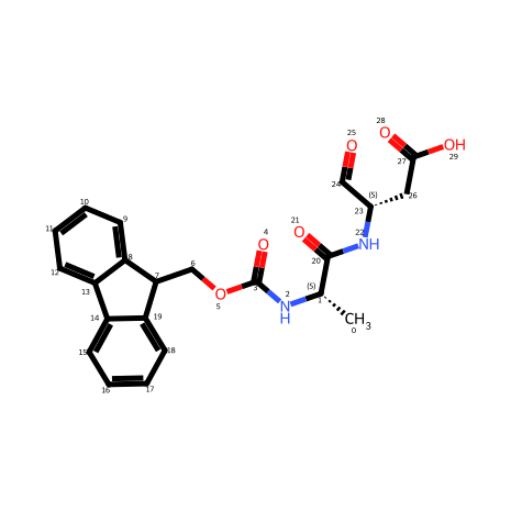 C[C@H](NC(=O)OCC1c2ccccc2-c2ccccc21)C(=O)N[C@H](C=O)CC(=O)O